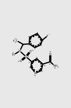 CCN(C(c1ccc(F)cc1)C(F)(F)F)S(=O)(=O)c1cncc(C(N)=O)c1